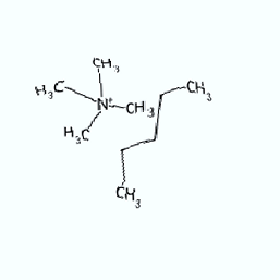 CCCCC.C[N+](C)(C)C